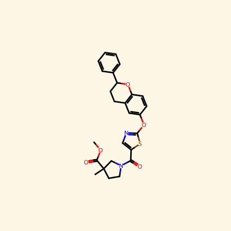 COC(=O)C1(C)CCN(C(=O)c2cnc(Oc3ccc4c(c3)CCC(c3ccccc3)O4)s2)C1